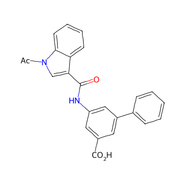 CC(=O)n1cc(C(=O)Nc2cc(C(=O)O)cc(-c3ccccc3)c2)c2ccccc21